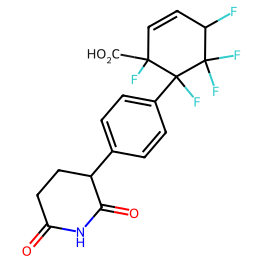 O=C1CCC(c2ccc(C3(F)C(F)(C(=O)O)C=CC(F)C3(F)F)cc2)C(=O)N1